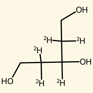 [2H]C([2H])(CO)C([2H])(O)C([2H])([2H])CO